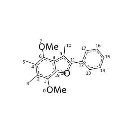 COc1c(C)c(C)c(OC)c2c(C)c(-c3ccccc3)oc12